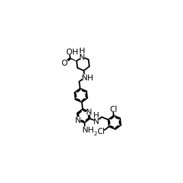 Nc1ncc(-c2ccc(CNC3CCN[C@H](C(=O)O)C3)cc2)nc1NCc1c(Cl)cccc1Cl